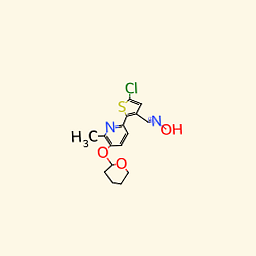 Cc1nc(-c2sc(Cl)cc2/C=N/O)ccc1OC1CCCCO1